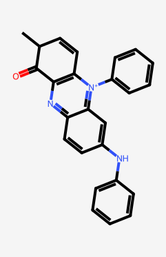 CC1C=Cc2c(nc3ccc(Nc4ccccc4)cc3[n+]2-c2ccccc2)C1=O